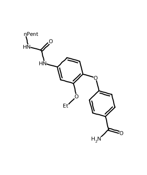 CCCCCNC(=O)Nc1ccc(Oc2ccc(C(N)=O)cc2)c(OCC)c1